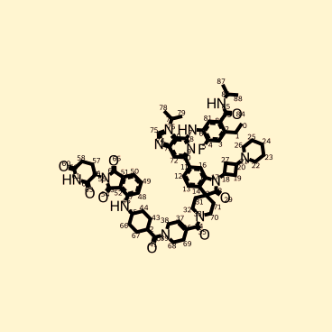 CCc1cc(F)c(Nc2nc(-c3ccc4c(c3)N(C3CC(N5CCCCC5)C3)C(=O)C43CCN(C(=O)C4=CCN(C(=O)C5CCC(Nc6cccc7c6C(=O)N([C@@H]6CCC(=O)NC6=O)C7=O)CC5)CC4)CC3)cc3ncn(C(C)C)c23)cc1C(=O)NC(C)C